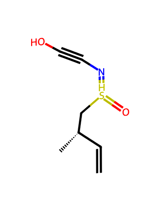 C=C[C@H](C)C/[SH](=O)=N\C#CO